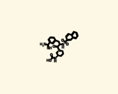 N=C(N)c1cccc(CC(NS(=O)(=O)c2ccc3ccccc3c2)C(=O)N2CCC[C@@H](NC(=O)O)C2)c1